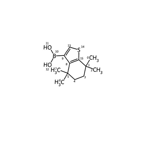 CC1(C)CCC(C)(C)c2c(B(O)O)csc21